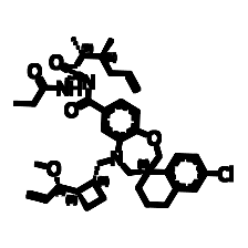 C=CC[C@H](C)[C@@H](C)S(=O)(=NC(=O)c1ccc2c(c1)N(C[C@@H]1CC[C@H]1[C@H](C=C)OC)C[C@@]1(CCCc3cc(Cl)ccc31)CO2)NC(=O)CC